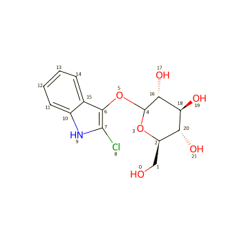 OC[C@H]1OC(Oc2c(Cl)[nH]c3ccccc23)[C@H](O)[C@@H](O)[C@@H]1O